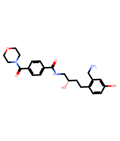 NCc1cc(O)ccc1CC[C@H](O)CNC(=O)c1ccc(C(=O)N2CCOCC2)cc1